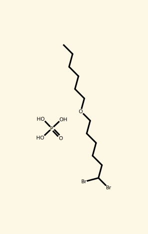 CCCCCCOCCCCCC(Br)Br.O=P(O)(O)O